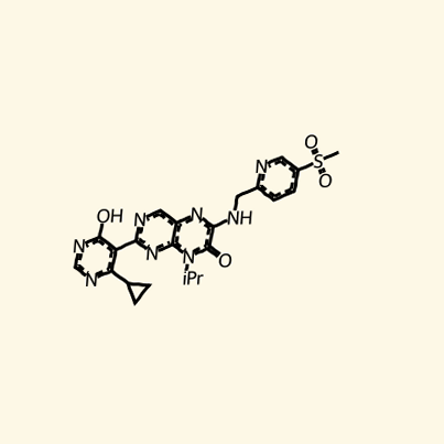 CC(C)n1c(=O)c(NCc2ccc(S(C)(=O)=O)cn2)nc2cnc(-c3c(O)ncnc3C3CC3)nc21